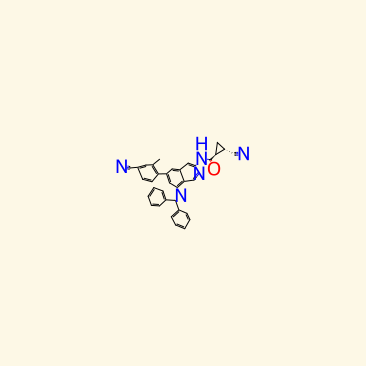 Cc1cc(C#N)ccc1-c1cc(N=C(c2ccccc2)c2ccccc2)c2cnc(NC(=O)[C@H]3C[C@@H]3C#N)cc2c1